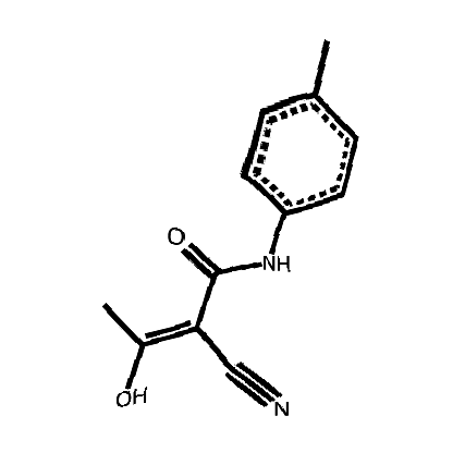 C/C(O)=C(/C#N)C(=O)Nc1ccc(C)cc1